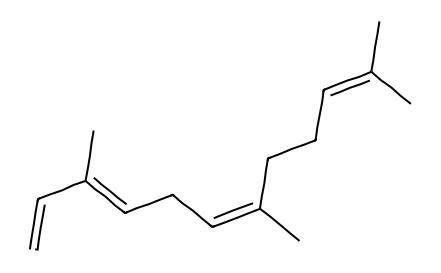 [CH]=CC(C)=CCC=C(C)CCC=C(C)C